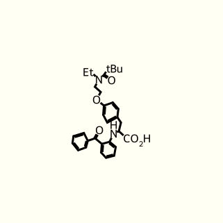 CCN(CCOc1ccc(CC(Nc2ccccc2C(=O)c2ccccc2)C(=O)O)cc1)C(=O)C(C)(C)C